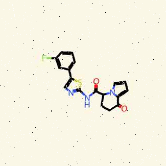 O=C1CCC(C(=O)Nc2ncc(-c3cccc(F)c3)s2)n2cccc21